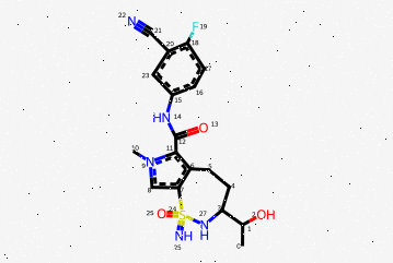 CC(O)C1CCc2c(cn(C)c2C(=O)Nc2ccc(F)c(C#N)c2)S(=N)(=O)N1